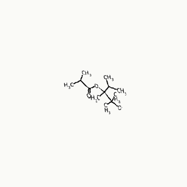 CC(C)C(=O)OC(C)(C(C)C)C(C)(C)[O]